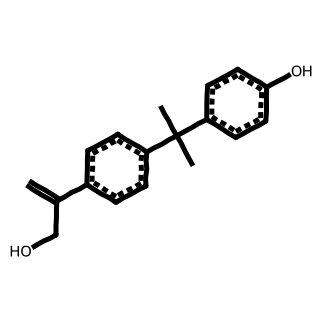 C=C(CO)c1ccc(C(C)(C)c2ccc(O)cc2)cc1